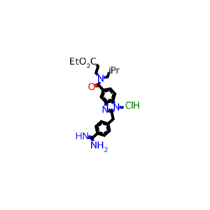 CCOC(=O)CCN(CC(C)C)C(=O)c1ccc2c(c1)nc(Cc1ccc(C(=N)N)cc1)n2C.Cl